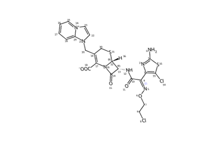 Nc1nc(/C(=N/OCCCl)C(=O)N[C@@H]2C(=O)N3C(C(=O)[O-])=C(Cn4cc[n+]5ccccc45)CS[C@H]23)c(Cl)s1